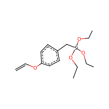 C=COc1ccc(C[Si](OCC)(OCC)OCC)cc1